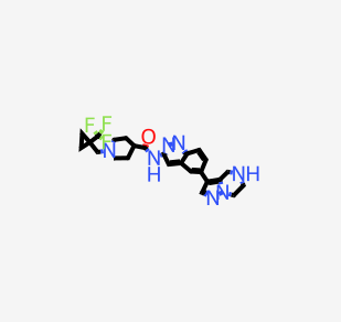 O=C(Nc1cc2cc(-c3cnn4c3CNCC4)ccc2nn1)C1CCN(CC2(C(F)(F)F)CC2)CC1